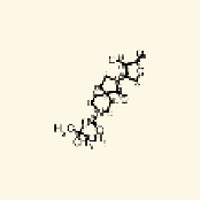 CC(C)(C)OC(=O)N1CCC2(CC1)CCN(C1=C(Cl)C(=O)OC1)C2=O